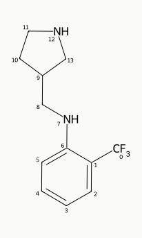 FC(F)(F)c1ccccc1NCC1CCNC1